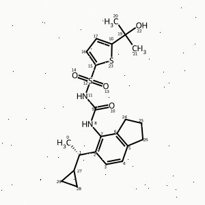 C[C@H](c1ccc2c(c1NC(=O)NS(=O)(=O)c1ccc(C(C)(C)O)s1)CCC2)C1CC1